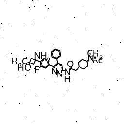 CC(=O)N(C)C1CCC(CC(=O)Nc2cc(-c3ccccc3)c(-c3ccc(C4(N)CC(C)(O)C4)c(F)c3)nn2)CC1